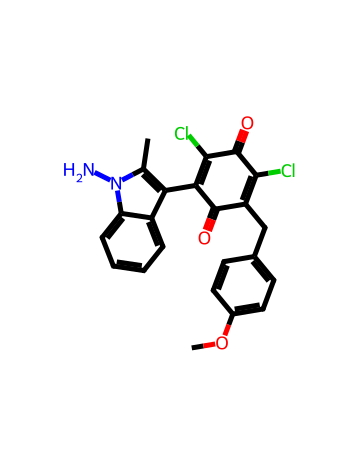 COc1ccc(CC2=C(Cl)C(=O)C(Cl)=C(c3c(C)n(N)c4ccccc34)C2=O)cc1